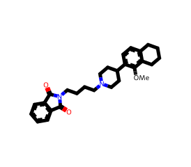 COc1c(C2CCN(CCCCN3C(=O)c4ccccc4C3=O)CC2)ccc2c1CCCC2